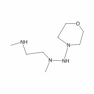 CNCCN(C)NN1CCOCC1